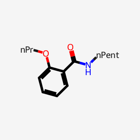 CCCCCNC(=O)c1ccccc1OCCC